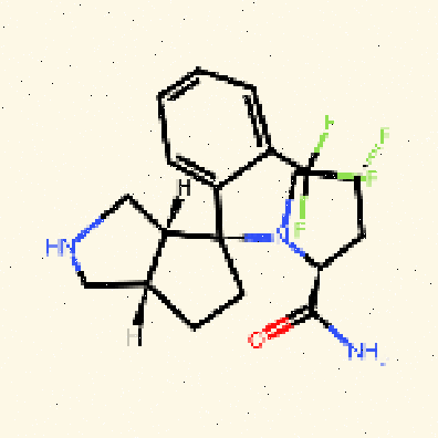 NC(=O)[C@@H]1C[C@@H](F)CN1[C@@]1(c2ccccc2C(F)(F)F)CC[C@@H]2CNC[C@@H]21